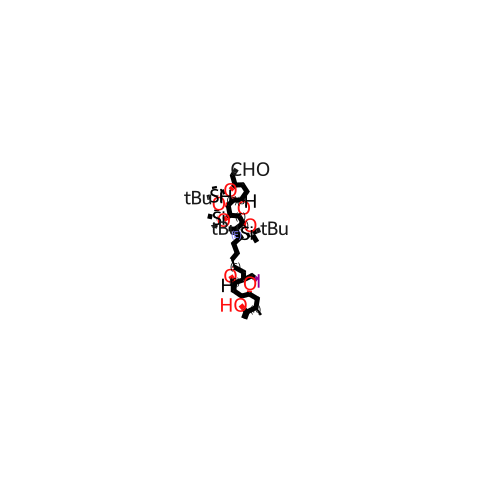 C=C(O)[C@H](C)CC1CC[C@@H]2O[C@@H](CCC/C=C(\C)[C@H](O[Si](C)(C)C(C)(C)C)[C@@H]3O[C@H]4CCC(CC=O)O[C@@H]4C(O[Si](C)(C)C(C)(C)C)C3O[Si](C)(C)C(C)(C)C)CC2(CI)O1